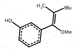 CO/C(=C(/C)C(C)(C)C)c1cccc(O)c1